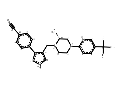 C[C@@H]1CN(c2ccc(C(F)(F)F)cn2)CCN1Cc1c[nH]nc1-c1ccc(C#N)cc1